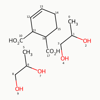 CC(O)CO.CC(O)CO.O=C(O)C1C=CCCC1C(=O)O